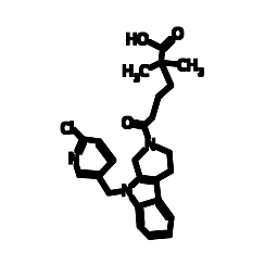 CC(C)(CCCC(=O)N1CCc2c(n(Cc3ccc(Cl)nc3)c3ccccc23)C1)C(=O)O